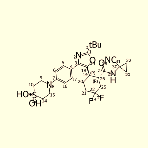 CC(C)(C)c1nc(-c2ccc(N3CCS(O)(O)CC3)cc2)c([C@@H]2CCC(F)(F)C[C@H]2C(=O)NC2(C#N)CC2)o1